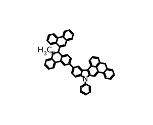 C[C@@H]1c2ccccc2-c2cc(-c3ccc4c(c3)c3c5cccc6c5c(cc3n4-c3ccccc3)-c3ccccc3C6)ccc2C1c1cc2ccccc2c2ccccc12